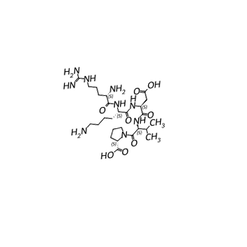 CC(C)[C@H](NC(=O)[C@H](CC(=O)O)NC(=O)[C@H](CCCCN)NC(=O)[C@@H](N)CCCNC(=N)N)C(=O)N1CCC[C@H]1C(=O)O